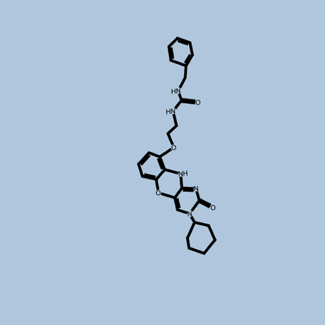 O=C(NCCOc1cccc2c1Nc1nc(=O)n(C3CCCCC3)cc1O2)NCc1ccccc1